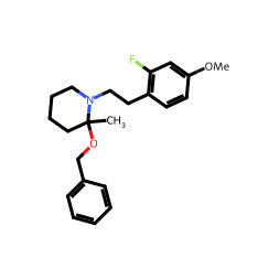 COc1ccc(CCN2CCCCC2(C)OCc2ccccc2)c(F)c1